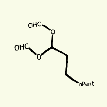 CCCCCCCC(OC=O)OC=O